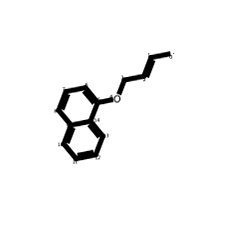 [CH2]C=CCOc1cccc2ccccc12